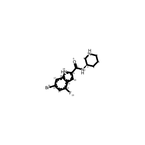 O=C(N[C@@H]1CCCNC1)c1cc2c(F)cc(Br)cc2[nH]1